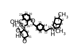 CC1CC2CC(C1)CC(C)(NCCc1ccc(COc3cccc(C=O)c3CN(C)C3CCC(=O)NC3=O)cc1)C2